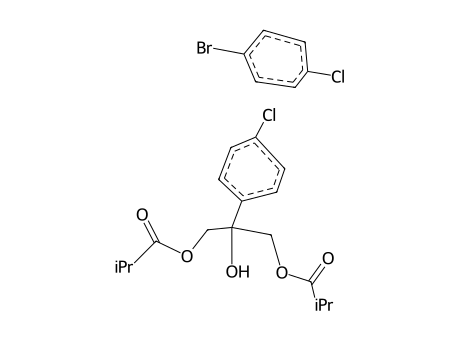 CC(C)C(=O)OCC(O)(COC(=O)C(C)C)c1ccc(Cl)cc1.Clc1ccc(Br)cc1